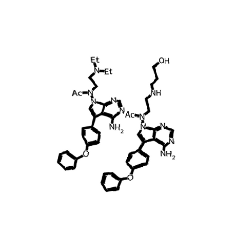 CC(=O)N(CCNCCCO)n1cc(-c2ccc(Oc3ccccc3)cc2)c2c(N)ncnc21.CCN(CC)CCN(C(C)=O)n1cc(-c2ccc(Oc3ccccc3)cc2)c2c(N)ncnc21